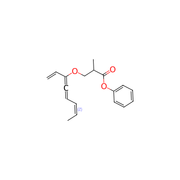 C=CC(=C=C/C=C\C)OCC(C)C(=O)Oc1ccccc1